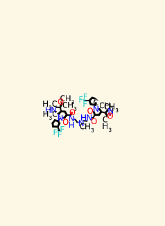 CO/C(C)=C(\C(C)=N)c1cc(C(=O)NCCN(C)CCNC(=O)c2cc(-c3c(C)noc3C)c(C)n(-c3cccc(C(F)(F)F)c3)c2=O)c(=O)n(-c2cccc(C(F)(F)F)c2)c1C